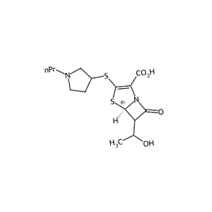 CCCN1CCC(SC2=C(C(=O)O)N3C(=O)C(C(C)O)[C@H]3S2)C1